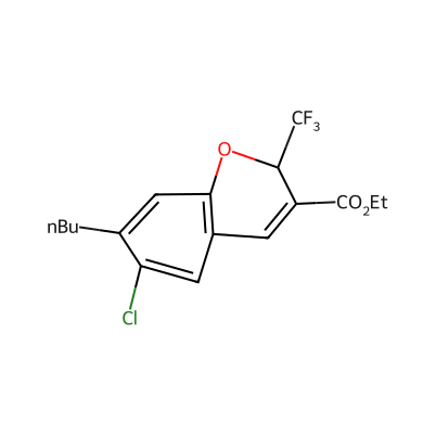 CCCCc1cc2c(cc1Cl)C=C(C(=O)OCC)C(C(F)(F)F)O2